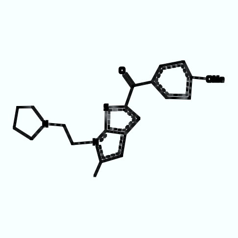 COc1ccc(C(=O)c2cc3cc(C)n(CCN4CCCC4)c3s2)cc1